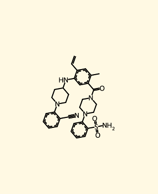 C=Cc1cc(C)c(C(=O)N2CCN(c3ccccc3S(N)(=O)=O)CC2)cc1NC1CCN(c2ccccc2C#N)CC1